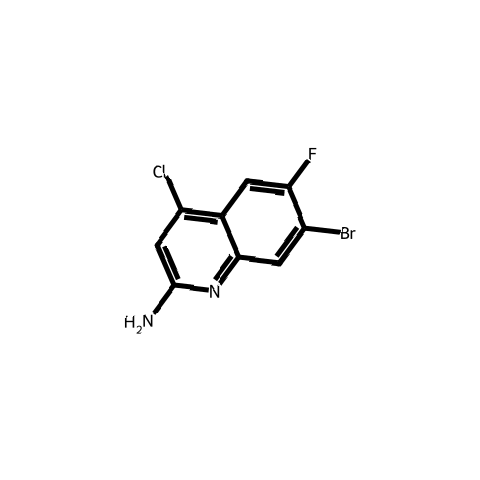 Nc1cc(Cl)c2cc(F)c(Br)cc2n1